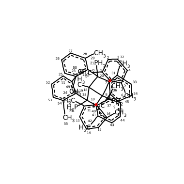 Cc1cccc(C)c1C(P)(c1c(C)cccc1C)C(C)(C(P)(c1c(C)cccc1C)c1c(C)cccc1C)C(P)(c1c(C)cccc1C)c1c(C)cccc1C